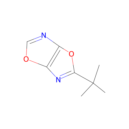 CC(C)(C)c1nc2ocnc2o1